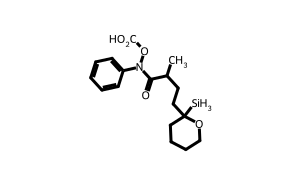 CC(CCC1([SiH3])CCCCO1)C(=O)N(OC(=O)O)c1ccccc1